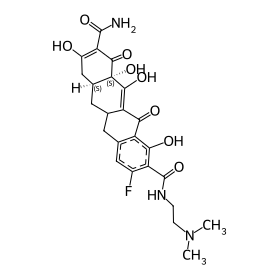 CN(C)CCNC(=O)c1c(F)cc2c(c1O)C(=O)C1=C(O)[C@]3(O)C(=O)C(C(N)=O)=C(O)C[C@@H]3CC1C2